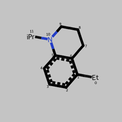 CCc1cccc2c1CCCN2C(C)C